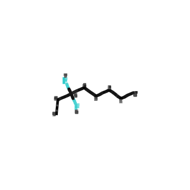 [CH2]CCCCC(F)(F)CC